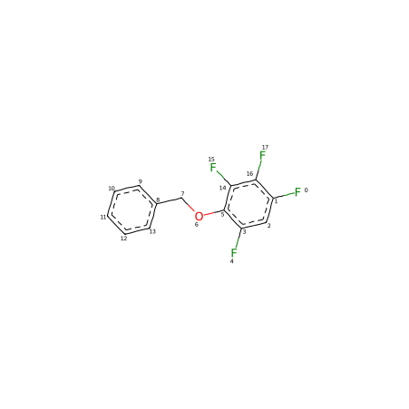 Fc1cc(F)c(OCc2ccccc2)c(F)c1F